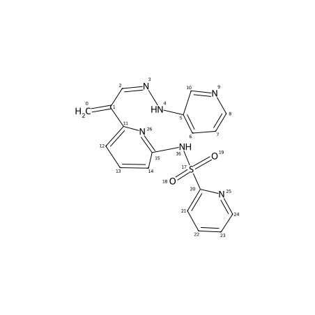 C=C(/C=N\Nc1cccnc1)c1cccc(NS(=O)(=O)c2ccccn2)n1